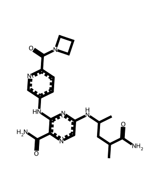 CC(CC(C)C(N)=O)Nc1cnc(C(N)=O)c(Nc2ccc(C(=O)N3CCC3)nc2)n1